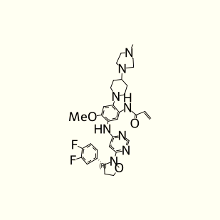 C=CC(=O)Nc1cc(Nc2cc(N3OCC[C@@H]3c3ccc(F)c(F)c3)ncn2)c(OC)cc1N1CCC(N2CCN(C)CC2)CC1